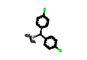 CC(Cl)(Cl)Cl.Clc1ccc(C(c2ccc(Cl)cc2)C(Cl)(Cl)Cl)cc1